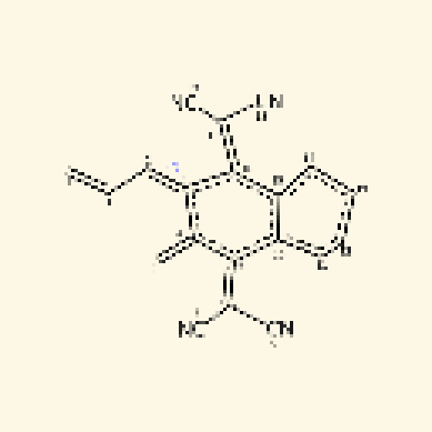 C=C/C=c1\c(=C)c(=C(C#N)C#N)c2ccccc2c1=C(C#N)C#N